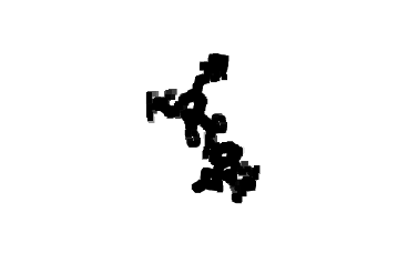 CC1CC(c2cccc(NC(=O)c3cc(CNC4(C)CCC4)cn(CC(F)(F)F)c3=O)c2)(c2nncn2C)C1